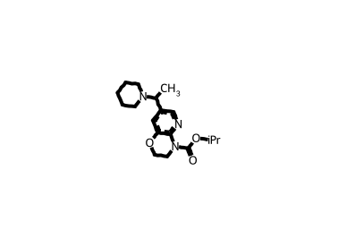 CC(C)OC(=O)N1CCOc2cc(C(C)N3CCCCC3)cnc21